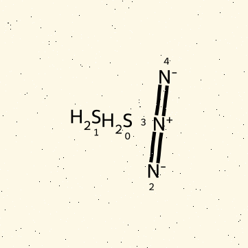 S.S.[N-]=[N+]=[N-]